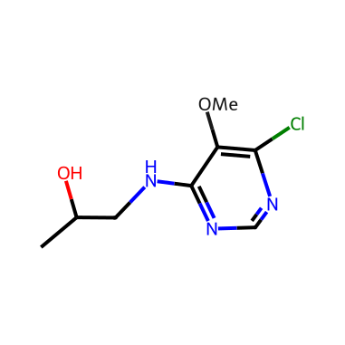 COc1c(Cl)ncnc1NCC(C)O